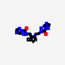 O=C(O)N(CCNC(=O)n1cncn1)CCNC(=O)n1cncn1